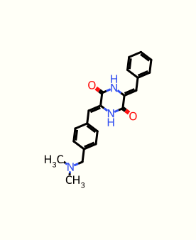 CN(C)Cc1ccc(C=c2[nH]c(=O)c(=Cc3ccccc3)[nH]c2=O)cc1